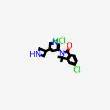 CC1(C)c2cc(Cl)ccc2C(=O)N1c1cncc(C2CNC2)c1.Cl